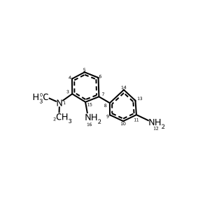 CN(C)c1cccc(-c2ccc(N)cc2)c1N